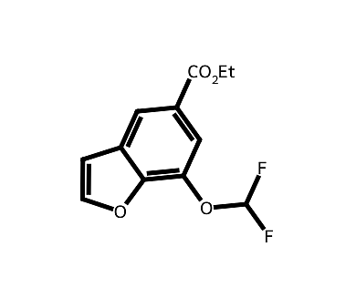 CCOC(=O)c1cc(OC(F)F)c2occc2c1